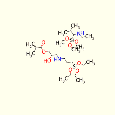 C=C(C)C(=O)OCC(O)CNCCC[Si](OCC)(OCC)OCC.CCNC(C(C)C)[Si](OC)(OC)OC